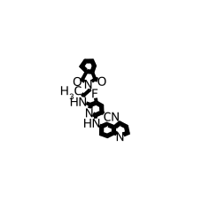 CC(CN1C(=O)c2ccccc2C1=O)Nc1nc(Nc2ccc3ncccc3c2)c(C#N)cc1F